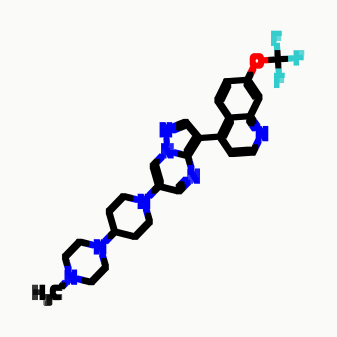 CN1CCN(C2CCN(c3cnc4c(-c5ccnc6cc(OC(F)(F)F)ccc56)cnn4c3)CC2)CC1